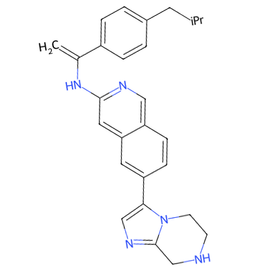 C=C(Nc1cc2cc(-c3cnc4n3CCNC4)ccc2cn1)c1ccc(CC(C)C)cc1